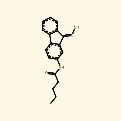 CCCCC(=O)Nc1ccc2c(c1)/C(=N/O)c1ccccc1-2